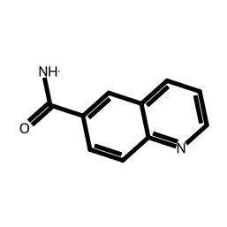 [NH]C(=O)c1ccc2ncccc2c1